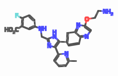 Cc1cccc(-c2nc(CNc3ccc(F)c(C(=O)O)c3)[nH]c2-c2ccc3ncc(OCCN)nc3c2)n1